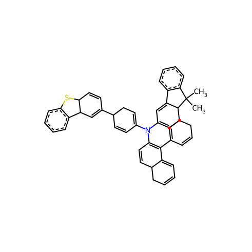 CC1(C)c2ccccc2C2=CC(N(C3=CCC(C4=CC5c6ccccc6SC5C=C4)C=C3)C3=C(C4=CCCC=C4)C4=CC=CCC4C=C3)=CCC21